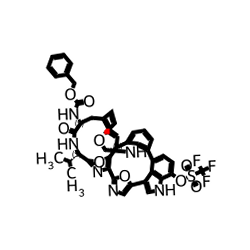 CC(C)[C@@H]1NC(=O)[C@@H](NC(=O)OCc2ccccc2)Cc2ccc3c(c2)[C@]24c5cccc(c5NC2O3)-c2ccc(OS(=O)(=O)C(F)(F)F)c3[nH]cc(c23)-c2cnc(o2)-c2nc1oc24